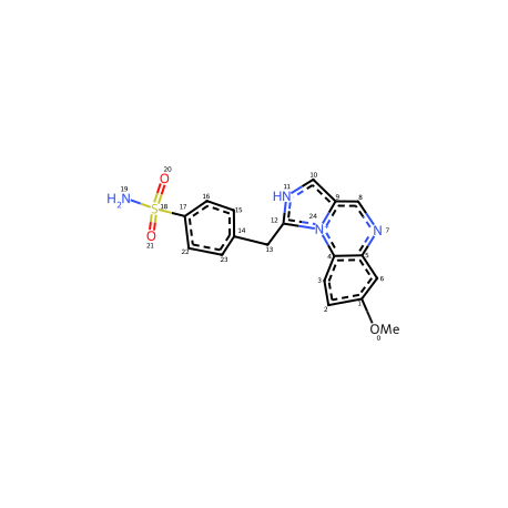 COc1ccc2c(c1)ncc1c[nH]c(Cc3ccc(S(N)(=O)=O)cc3)[n+]12